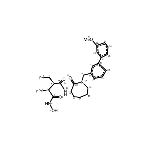 CCC[C@H](C(=O)NO)[C@@H](CC(C)C)C(=O)N[C@H]1CCCCN(Cc2cccc(-c3cccc(OC)c3)c2)C1=O